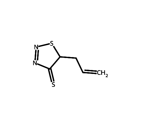 C=CCC1SN=NC1=S